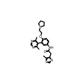 Cc1ncnc(C)c1-c1cc(NC(=O)Cc2ncsc2C)ccc1OCCN1CCCC1